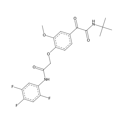 COc1cc(C(=O)C(=O)NC(C)(C)C)ccc1OCC(=O)Nc1cc(F)c(F)cc1F